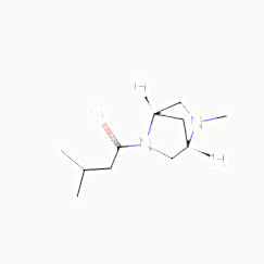 CC(C)CC(=O)N1C[C@@H]2C[C@H]1CN2C